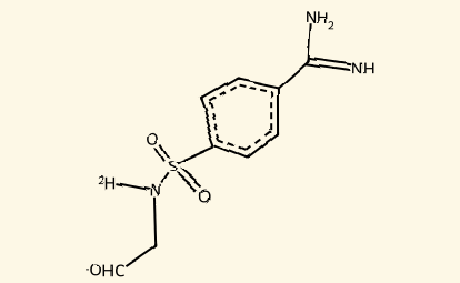 [2H]N(C[C]=O)S(=O)(=O)c1ccc(C(=N)N)cc1